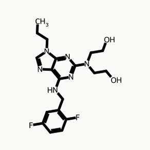 CCCn1cnc2c(NCc3cc(F)ccc3F)nc(N(CCO)CCO)nc21